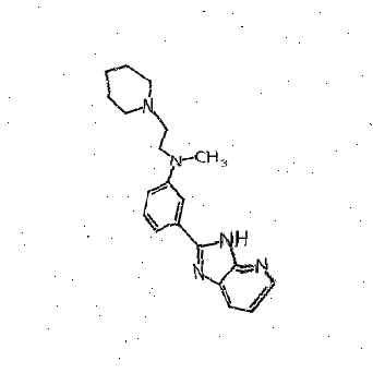 CN(CCN1CCCCC1)c1cccc(-c2nc3cccnc3[nH]2)c1